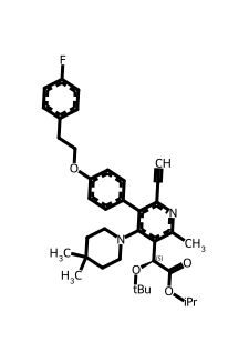 C#Cc1nc(C)c([C@H](OC(C)(C)C)C(=O)OC(C)C)c(N2CCC(C)(C)CC2)c1-c1ccc(OCCc2ccc(F)cc2)cc1